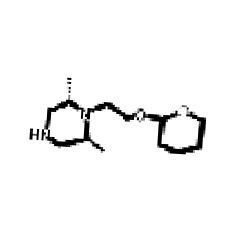 C[C@H]1CNC[C@H](C)N1CCOC1CCCCO1